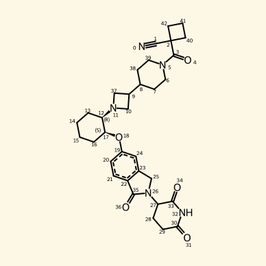 N#CC1(C(=O)N2CCC(C3CN([C@@H]4CCCC[C@@H]4Oc4ccc5c(c4)CN(C4CCC(=O)NC4=O)C5=O)C3)CC2)CCC1